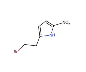 O=[N+]([O-])c1ccc(CCBr)[nH]1